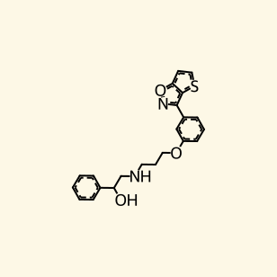 OC(CNCCCOc1cccc(-c2noc3ccsc23)c1)c1ccccc1